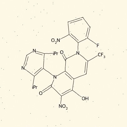 CC(C)c1ncnc(C(C)C)c1-n1c(=O)c([N+](=O)[O-])c(O)c2cc(C(F)(F)F)n(-c3c(F)cccc3[N+](=O)[O-])c(=O)c21